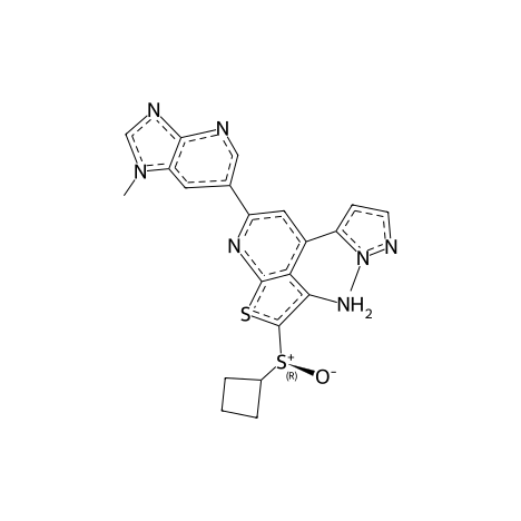 Cn1nccc1-c1cc(-c2cnc3ncn(C)c3c2)nc2sc([S@@+]([O-])C3CCC3)c(N)c12